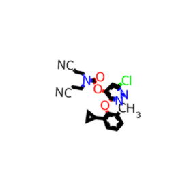 Cc1cccc(C2CC2)c1Oc1nnc(Cl)cc1OC(=O)N(CCC#N)CCC#N